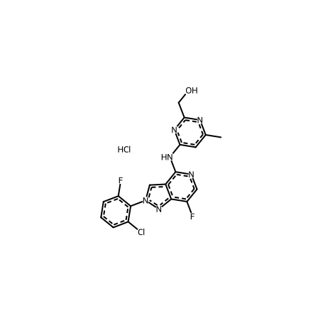 Cc1cc(Nc2ncc(F)c3nn(-c4c(F)cccc4Cl)cc23)nc(CO)n1.Cl